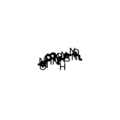 C=C(Nc1nccc2ccc(-c3noc(C)n3)cc12)C(=O)Nc1ncc(-c2noc(CCC)n2)s1